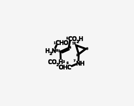 NC=O.O=C(O)/C=C/C(=O)O.O=CNC1CC1